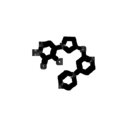 O=c1[nH]ncc(N2CC[C@@H](Oc3cc(N4C=CN=CC4)ccn3)C2)c1Cl